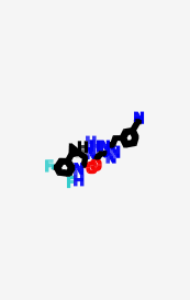 N#Cc1cccc(Cc2nnc(C(=O)NC3C(=O)Nc4c(F)cc(F)cc4C4C[C@H]34)[nH]2)c1